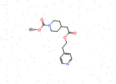 CC(C)(C)OC(=O)N1CCC(CC(=O)OCCc2ccncc2)CC1